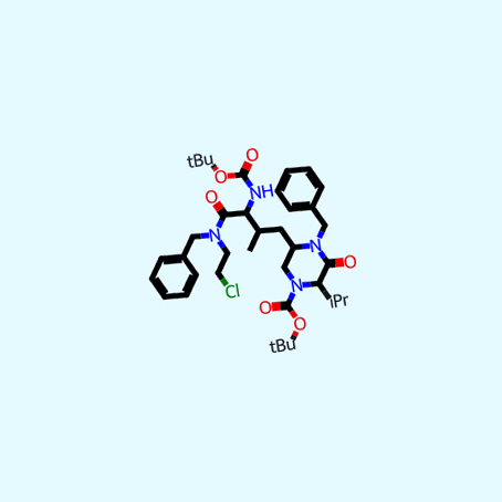 CC(C)C1C(=O)N(Cc2ccccc2)C(CC(C)C(NC(=O)OC(C)(C)C)C(=O)N(CCCl)Cc2ccccc2)CN1C(=O)OC(C)(C)C